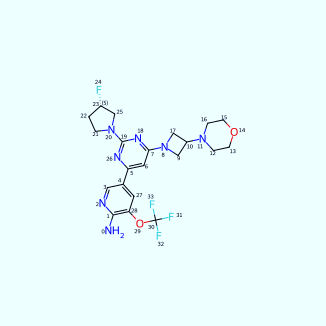 Nc1ncc(-c2cc(N3CC(N4CCOCC4)C3)nc(N3CC[C@H](F)C3)n2)cc1OC(F)(F)F